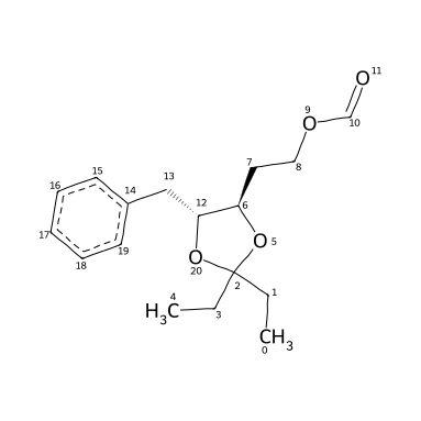 CCC1(CC)O[C@H](CCOC=O)[C@@H](Cc2ccccc2)O1